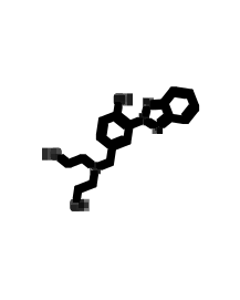 OCCN(CCO)Cc1ccc(O)c(-n2nc3ccccc3n2)c1